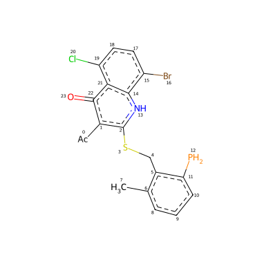 CC(=O)c1c(SCc2c(C)cccc2P)[nH]c2c(Br)ccc(Cl)c2c1=O